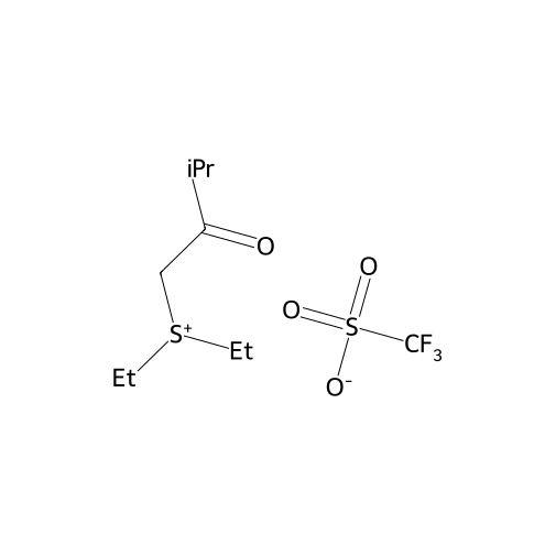 CC[S+](CC)CC(=O)C(C)C.O=S(=O)([O-])C(F)(F)F